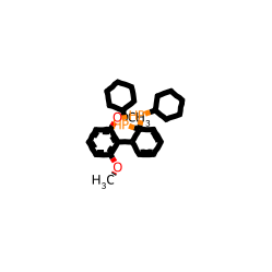 COc1cccc(OC)c1C1C=CC=CC1(PC1CCCCC1)PC1CCCCC1